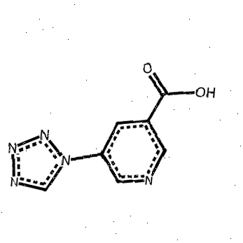 O=C(O)c1cncc(-n2cnnn2)c1